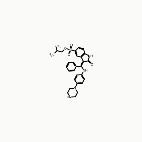 CC(C)COS(=O)(=O)c1ccc2c(c1)/C(=C(/Nc1ccc(N3CCNCC3)cc1)c1ccccc1)C(=O)N2